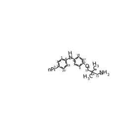 CCCc1ccc(Nc2ccc(OCC(C)(C)CN)cc2)cc1